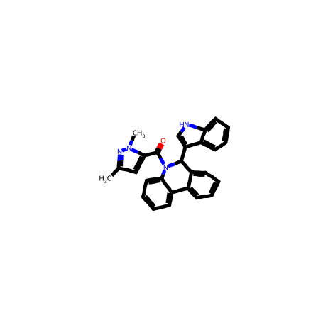 Cc1cc(C(=O)N2c3ccccc3-c3ccccc3C2c2c[nH]c3ccccc23)n(C)n1